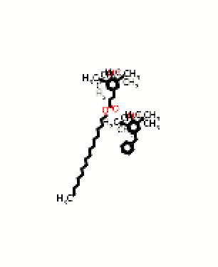 CC(C)(C)c1cc(Cc2ccccc2)cc(C(C)(C)C)c1O.CCCCCCCCCCCCCCCCCCOC(=O)CCc1cc(C(C)(C)C)c(O)c(C(C)(C)C)c1